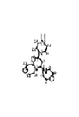 O=C(CC(N1CCOCC1)N1CCOCC1)N1CCNCC1